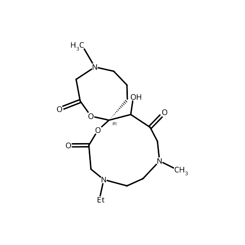 CCN1CCN(C)CC(=O)C(O)[C@@]2(CCCN(C)CC(=O)O2)OC(=O)C1